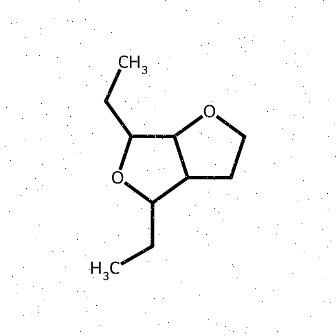 CCC1OC(CC)C2OCCC12